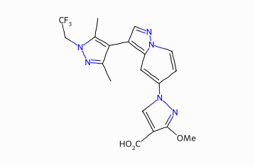 COc1nn(-c2ccn3ncc(-c4c(C)nn(CC(F)(F)F)c4C)c3c2)cc1C(=O)O